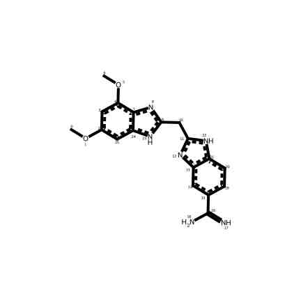 COc1cc(OC)c2nc(Cc3nc4cc(C(=N)N)ccc4[nH]3)[nH]c2c1